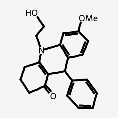 COc1ccc2c(c1)N(CCO)C1=C(C(=O)CCC1)C2c1ccccc1